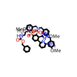 COc1ccc(CN(Cc2ccc(OC)cc2)S(=O)(=O)c2c(S(=O)(=O)NC(C)CNC(=O)OCc3ccccc3)ccc(-c3cccc(N)n3)c2-c2nnn(Cc3ccc(OC)cc3)n2)cc1